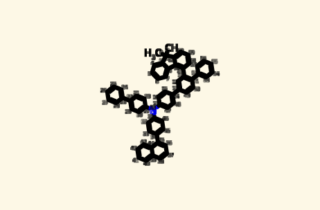 CC1(C)c2ccccc2-c2c(-c3cc(-c4ccc(N(c5ccc(-c6ccccc6)cc5)c5ccc(-c6cccc7ccccc67)cc5)cc4)ccc3-c3ccccc3)cccc21